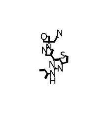 C=CC(=C)Nc1nc(-c2cnn(C3(CC#N)COC3)c2)c2sccc2n1